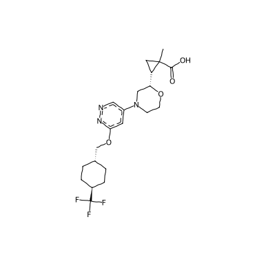 CC1(C(=O)O)CC1[C@H]1CN(c2cnnc(OC[C@H]3CC[C@H](C(F)(F)F)CC3)c2)CCO1